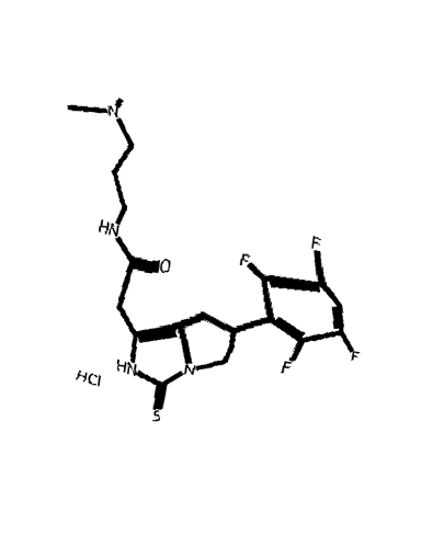 CN(C)CCCNC(=O)Cc1[nH]c(=S)n2c1CC(c1c(F)c(F)cc(F)c1F)C2.Cl